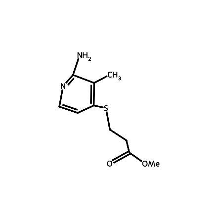 COC(=O)CCSc1ccnc(N)c1C